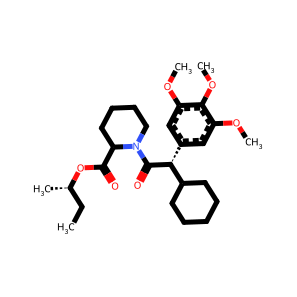 CC[C@H](C)OC(=O)C1CCCCN1C(=O)[C@H](c1cc(OC)c(OC)c(OC)c1)C1CCCCC1